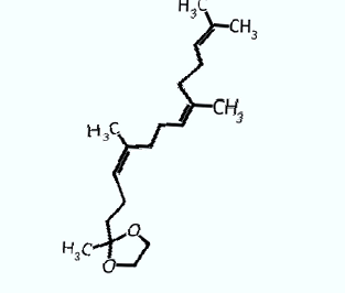 CC(C)=CCC/C(C)=C\CC/C(C)=C\CCC1(C)OCCO1